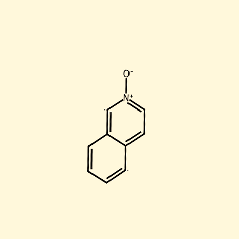 [O-][n+]1[c]c2ccc[c]c2cc1